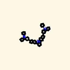 C1=CC(c2ccc3cc4c5cccc6c7cc8ccc(-c9ccc%10c(c9)c9ccccc9n%10-c9ccccc9)cc8cc7n(c4cc3c2)c65)Cc2c1n(-c1ccccc1)c1ccccc21